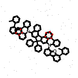 Cc1ccccc1-c1cccc2c1oc1c(N(c3ccccc3-c3ccccc3)c3cc4c(c5ccccc35)-c3c(cc(N(c5ccccc5-c5ccccc5)c5cccc6c5oc5c(-c7ccccc7C)cccc56)c5ccccc35)C4(c3ccccc3)c3ccccc3)cccc12